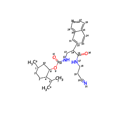 CC1CCC(C(C)C)C(OC(=O)NCC(C(=O)NCCC#N)c2ccc3ccccc3c2)C1